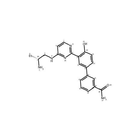 CC[C@@H](N)CNc1ccnc(-c2cc(-c3cccc(C(N)=O)c3)ccc2O)n1